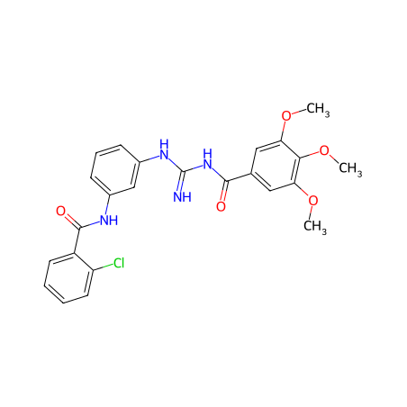 COc1cc(C(=O)NC(=N)Nc2cccc(NC(=O)c3ccccc3Cl)c2)cc(OC)c1OC